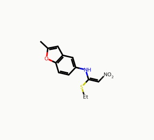 CCS/C(=C/[N+](=O)[O-])Nc1ccc2oc(C)cc2c1